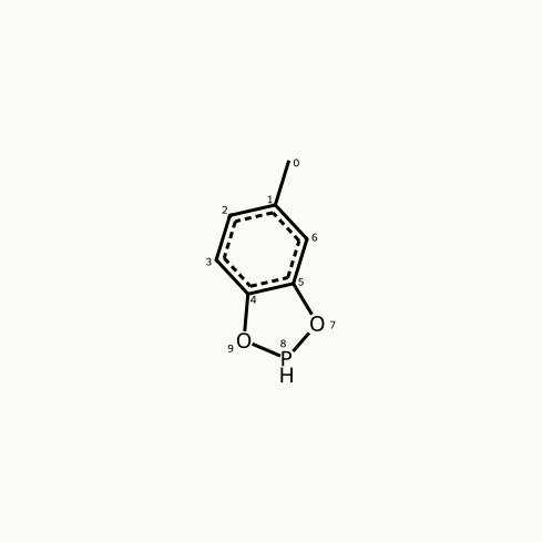 Cc1ccc2c(c1)OPO2